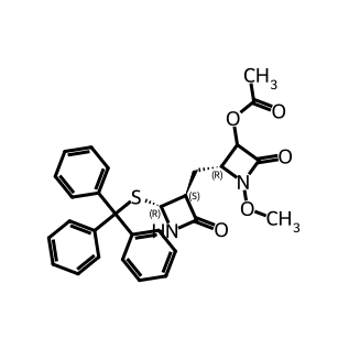 CON1C(=O)C(OC(C)=O)[C@H]1C[C@H]1C(=O)N[C@@H]1SC(c1ccccc1)(c1ccccc1)c1ccccc1